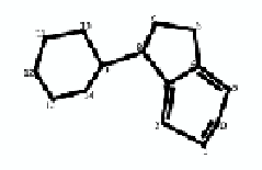 c1ccc2c(c1)CCC2C1CCCCC1